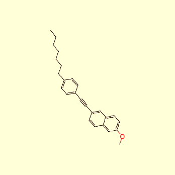 CCCCCCCc1ccc(C#Cc2ccc3cc(OC)ccc3c2)cc1